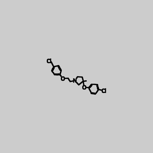 CC1(Oc2ccc(Cl)cc2)CCN(CCOc2ccc(Cl)cc2)C1